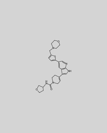 O=C(NC1CCOC1)N1CC=C(c2c[nH]c3ncc(-c4ccc(CN5CCOCC5)s4)cc23)CC1